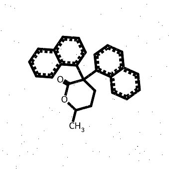 CC1CCC(c2cccc3ccccc23)(c2cccc3ccccc23)C(=O)O1